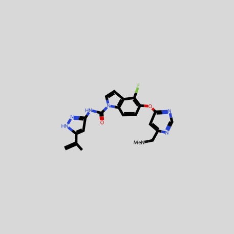 C=C(C)c1cc(NC(=O)n2ccc3c(F)c(Oc4cc(CNC)ncn4)ccc32)n[nH]1